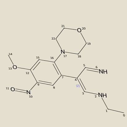 CCN/C=C(\C=N)c1cc(N=O)c(OC)cc1N1CCOCC1